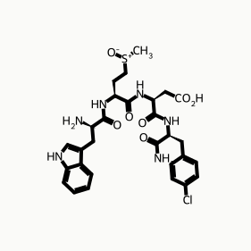 C[S+]([O-])CC[C@H](NC(=O)[C@H](N)Cc1c[nH]c2ccccc12)C(=O)N[C@@H](CC(=O)O)C(=O)N[C@@H](Cc1ccc(Cl)cc1)C(N)=O